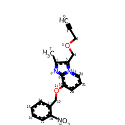 C#CCOCc1c(C)nc2c(OCc3ccccc3[N+](=O)[O-])cccn12